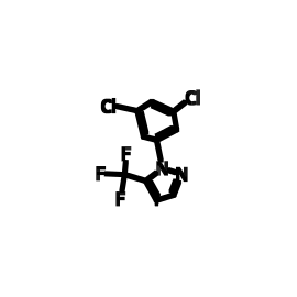 FC(F)(F)c1[c]cnn1-c1cc(Cl)cc(Cl)c1